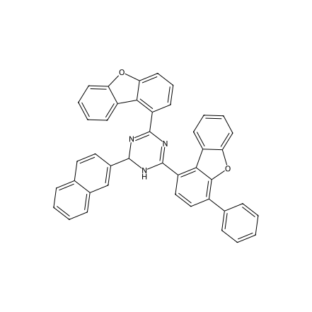 c1ccc(-c2ccc(C3=NC(c4cccc5oc6ccccc6c45)=NC(c4ccc5ccccc5c4)N3)c3c2oc2ccccc23)cc1